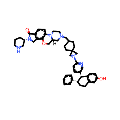 O=C1c2ccc3c(c2CN1[C@H]1CCCNC1)OC[C@H]1CN(CC2CCC4(CC2)CN(c2ccc([C@@H]5c6ccc(O)cc6CC[C@@H]5c5ccccc5)cn2)C4)CCN31